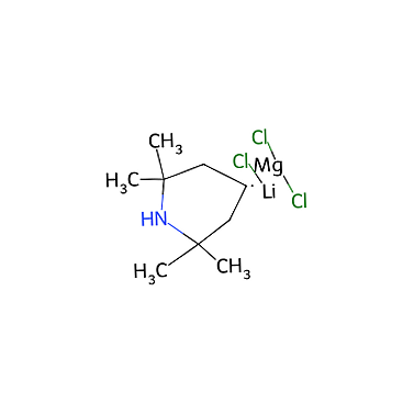 CC1(C)C[CH]CC(C)(C)N1.[Cl][Mg][Cl].[Li][Cl]